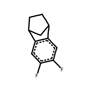 Fc1cc2c(cc1F)C1CCC2C1